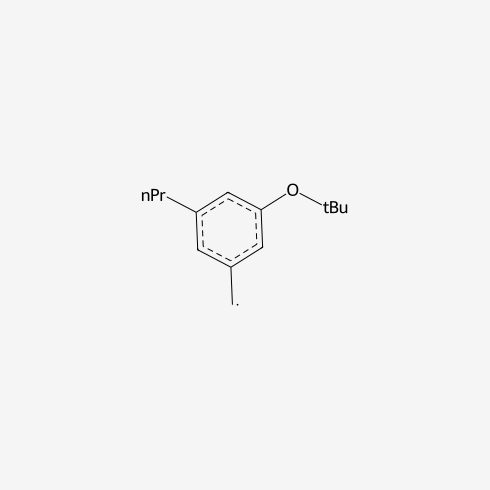 [CH2]c1cc(CCC)cc(OC(C)(C)C)c1